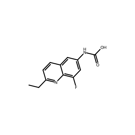 CCc1ccc2cc(NC(=O)O)cc(F)c2n1